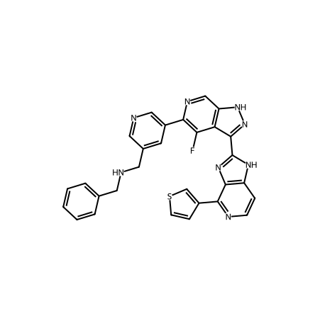 Fc1c(-c2cncc(CNCc3ccccc3)c2)ncc2[nH]nc(-c3nc4c(-c5ccsc5)nccc4[nH]3)c12